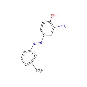 Nc1cc(/N=N/c2cccc(S(=O)(=O)O)c2)ccc1O